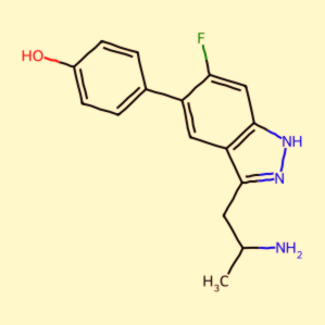 CC(N)Cc1n[nH]c2cc(F)c(-c3ccc(O)cc3)cc12